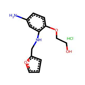 Cl.Nc1ccc(OCCO)c(NCc2ccco2)c1